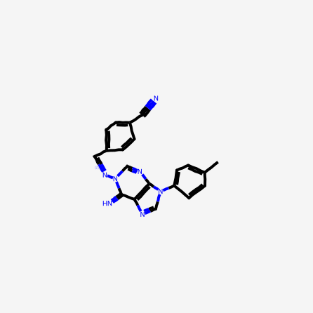 Cc1ccc(-n2cnc3c(=N)n(/N=C\c4ccc(C#N)cc4)cnc32)cc1